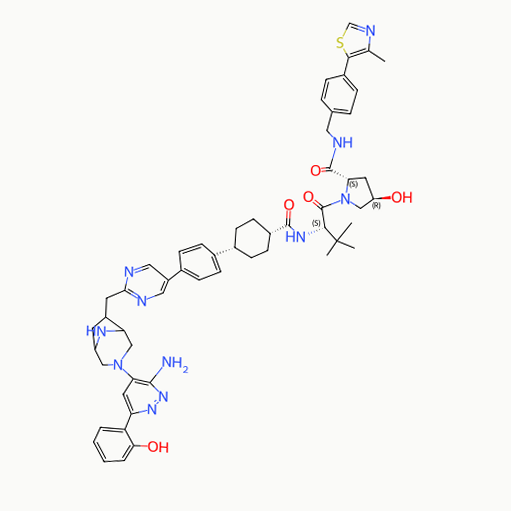 Cc1ncsc1-c1ccc(CNC(=O)[C@@H]2C[C@@H](O)CN2C(=O)[C@@H](NC(=O)[C@H]2CC[C@@H](c3ccc(-c4cnc(CC5CC6CN(c7cc(-c8ccccc8O)nnc7N)CC5N6)nc4)cc3)CC2)C(C)(C)C)cc1